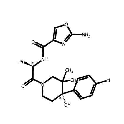 CC(C)[C@@H](NC(=O)c1coc(N)n1)C(=O)N1CC[C@](O)(c2ccc(Cl)cc2)C(C)(C)C1